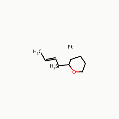 CC=C[SiH2]C1CCCCO1.[Pt]